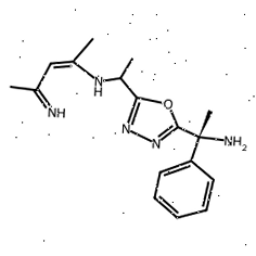 CC(=N)/C=C(/C)NC(C)c1nnc([C@](C)(N)c2ccccc2)o1